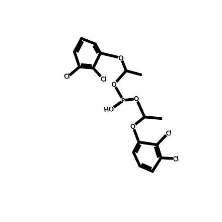 CC(Oc1cccc(Cl)c1Cl)OP(O)OC(C)Oc1cccc(Cl)c1Cl